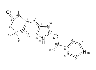 CC1(C)CC(=O)Nc2cc3nc(NC(=O)c4ccncc4)[nH]c3cc21